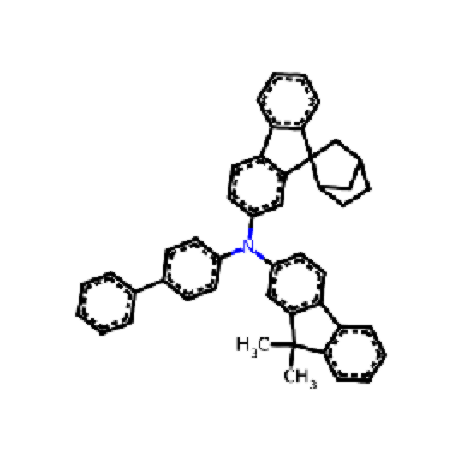 CC1(C)c2ccccc2-c2ccc(N(c3ccc(-c4ccccc4)cc3)c3ccc4c(c3)C3(CC5CCC3C5)c3ccccc3-4)cc21